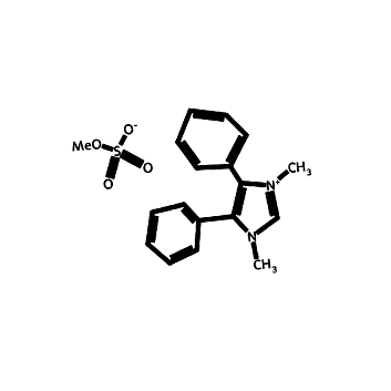 COS(=O)(=O)[O-].Cn1c[n+](C)c(-c2ccccc2)c1-c1ccccc1